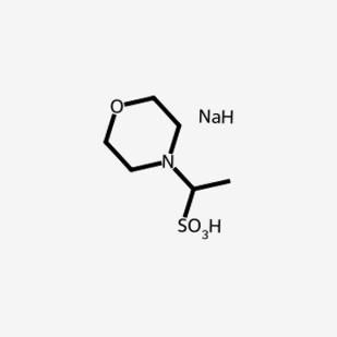 CC(N1CCOCC1)S(=O)(=O)O.[NaH]